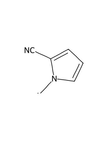 [CH2]n1cccc1C#N